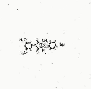 Cc1cc(C)cc(N2C(=O)[C@@H]3[C@@H](c4ccc(C#N)cc4)[C@]3(C)C2=O)c1